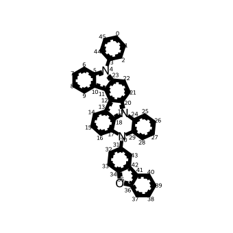 c1ccc(-n2c3ccccc3c3c4c5cccc6c5n(c4ccc32)-c2ccccc2N6c2ccc3oc4ccccc4c3c2)cc1